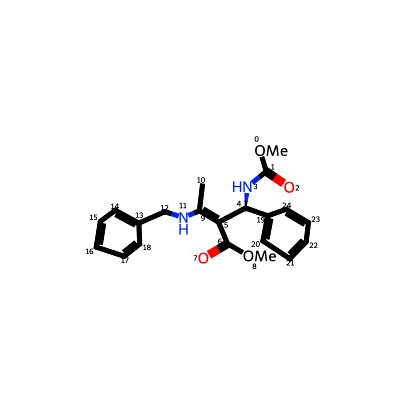 COC(=O)N[C@H](/C(C(=O)OC)=C(\C)NCc1ccccc1)c1ccccc1